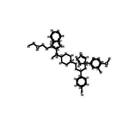 [CH]c1cc([N+]2(CC(CCN3CCC(N(C)c4nc5ccccc5n4CCOCC)CC3)c3ccc(F)cc3)C=NN=N2)ccc1OC